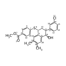 COC(=O)c1ccc(SCCC(c2cccc(Cl)c2)C(O)c2ccc(C)c(C)c2)cc1